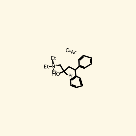 CC(=O)[O-].CC[N+](CC)(CC)CC(O)(CC(c1ccccc1)c1ccccc1)C(C)C